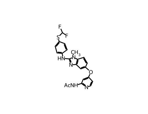 CC(=O)Nc1cc(Oc2ccc3c(c2)nc(Nc2ccc(SC(F)F)cc2)n3C)ccn1